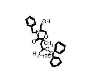 CC(CC1(C)OCC(CO)N(Cc2ccccc2)C1=O)O[Si](c1ccccc1)(c1ccccc1)C(C)(C)C